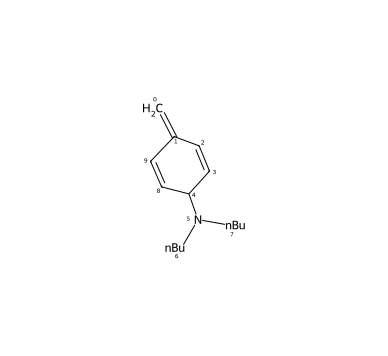 C=C1C=CC(N(CCCC)CCCC)C=C1